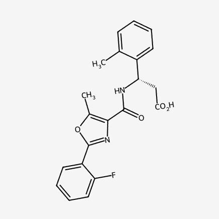 Cc1ccccc1[C@H](CC(=O)O)NC(=O)c1nc(-c2ccccc2F)oc1C